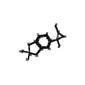 CC1CC1(C)c1ccc2c(c1)CC(C)(F)C2